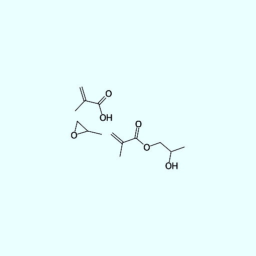 C=C(C)C(=O)O.C=C(C)C(=O)OCC(C)O.CC1CO1